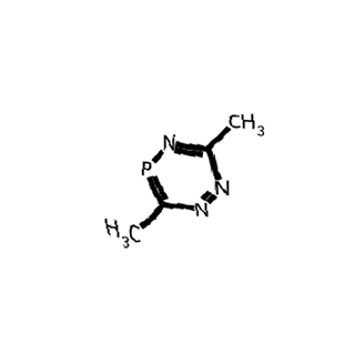 Cc1nnc(C)pn1